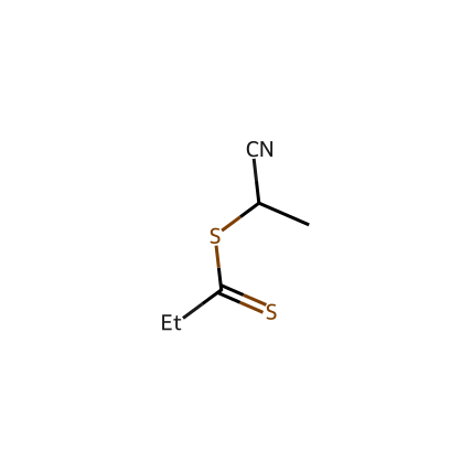 CCC(=S)SC(C)C#N